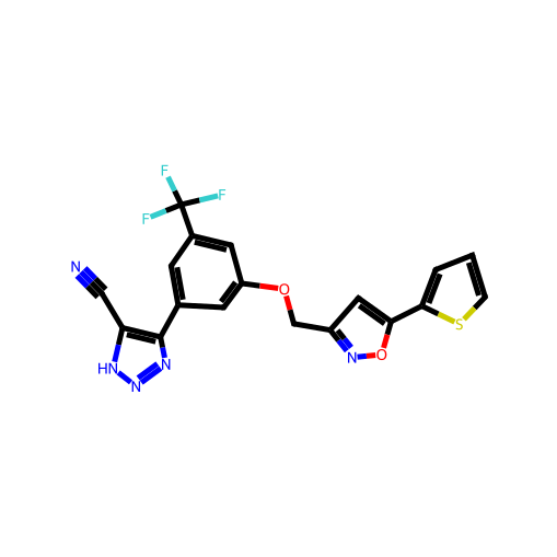 N#Cc1[nH]nnc1-c1cc(OCc2cc(-c3cccs3)on2)cc(C(F)(F)F)c1